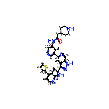 O=C(CC1CCNCC1)Nc1cncc(-c2cc3c(-c4cc5c(-c6cccs6)ccnc5[nH]4)n[nH]c3cn2)c1